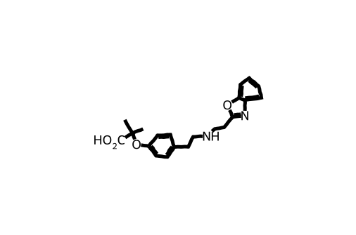 CC(C)(Oc1ccc(CCNCCc2nc3ccccc3o2)cc1)C(=O)O